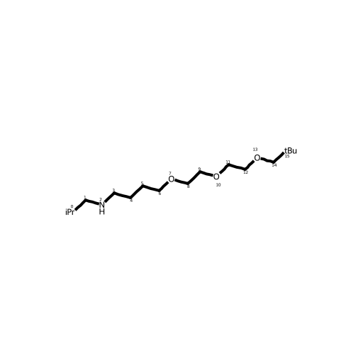 CC(C)CNCCCCOCCOCCOCC(C)(C)C